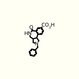 O=C(O)c1ccc2c(c1)C(=O)NCC1CN(Cc3ccccc3)CC21